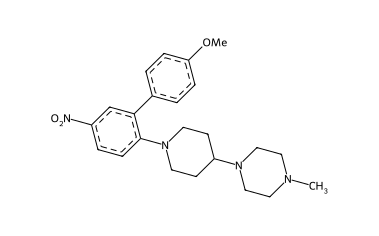 COc1ccc(-c2cc([N+](=O)[O-])ccc2N2CCC(N3CCN(C)CC3)CC2)cc1